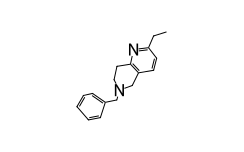 CCc1ccc2c(n1)CCN(Cc1ccccc1)C2